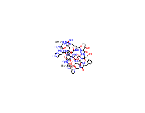 CC[C@H](C)[C@H](NC(=O)[C@@H]1CCCN1C(=O)CNC(=O)[C@H](Cc1ccccc1)NC(=O)[C@@H]1CCCN1C(=O)[C@H](CO)NC(=O)[C@@H](NC(=O)[C@H](CCCNC(=N)N)NC(=O)[C@H](C)NC(=O)[C@H](CC(N)=O)NC(=O)[C@H](Cc1c[nH]cn1)NC(=O)[C@H](Cc1c[nH]cn1)NC(=O)[C@@H](N)CC(=O)O)[C@@H](C)O)C(=O)N[C@@H](CC(C)C)C(=O)N[C@@H](CO)C(=O)N[C@@H](CC(C)C)C(=O)O